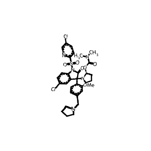 COc1cc(CN2CCCC2)ccc1C1(N2CCC[C@@H]2OC(=O)N(C)C)C(=O)N(S(=O)(=O)c2ccc(Cl)cn2)c2ccc(Cl)cc21